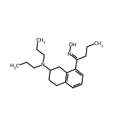 CCCC(=NO)c1cccc2c1CC(N(CCC)CCC)CC2